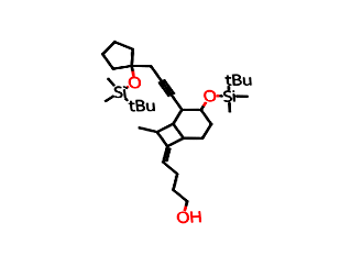 CC1/C(=C/CCCO)C2CCC(O[Si](C)(C)C(C)(C)C)C(C#CCC3(O[Si](C)(C)C(C)(C)C)CCCC3)C12